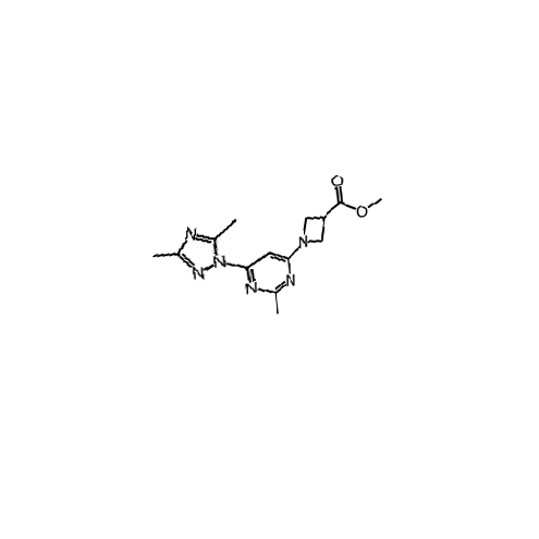 COC(=O)C1CN(c2cc(-n3nc(C)nc3C)nc(C)n2)C1